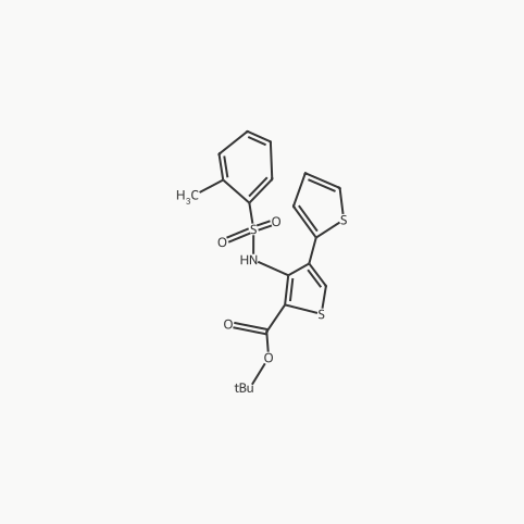 Cc1ccccc1S(=O)(=O)Nc1c(-c2cccs2)csc1C(=O)OC(C)(C)C